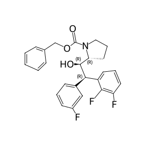 O=C(OCc1ccccc1)N1CCC[C@@H]1[C@H](O)[C@H](c1cccc(F)c1)c1cccc(F)c1F